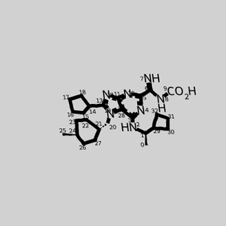 C[C@@H](Nc1nc(C(=N)NC(=O)O)nc2nc(C3CCCC3)n(C[C@H]3CC[C@H](C)CC3)c12)C1CCC1